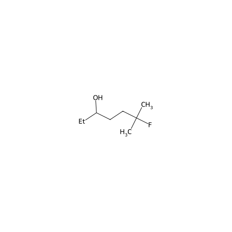 CCC(O)CCC(C)(C)F